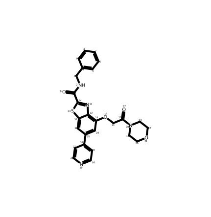 O=C(NCc1ccccc1)c1nc2c(OCC(=O)N3CCOCC3)cc(-c3ccncc3)cc2s1